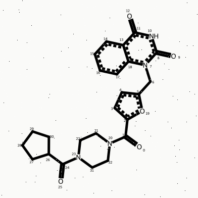 O=C(c1ccc(Cn2c(=O)[nH]c(=O)c3ccccc32)o1)N1CCN(C(=O)C2CCCC2)CC1